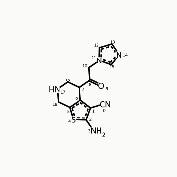 N#Cc1c(N)sc2c1C(C(=O)Cn1ccnc1)CNC2